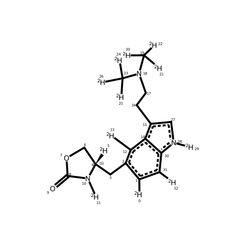 [2H]c1c(C[C@@]2([2H])COC(=O)N2[2H])c([2H])c2c(CCN(C([2H])([2H])[2H])C([2H])([2H])[2H])cn([2H])c2c1[2H]